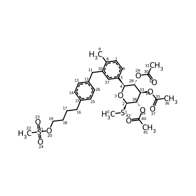 CS[C@H]1O[C@@H](c2ccc(C)c(Cc3ccc(CCCCOS(C)(=O)=O)cc3)c2)[C@H](OC(C)=O)[C@@H](OC(C)=O)[C@@H]1OC(C)=O